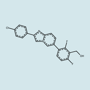 OCc1c(F)ccc(-c2ccc3nc(-c4ccc(Cl)cc4)cn3c2)c1F